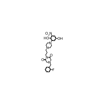 O=C1CN(Cc2ccccc2F)CC(=O)N1CCCN1CCN(c2cc(O)cc([N+](=O)[O-])c2O)CC1